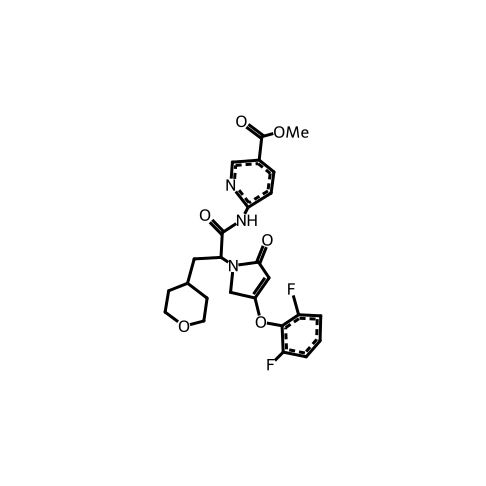 COC(=O)c1ccc(NC(=O)C(CC2CCOCC2)N2CC(Oc3c(F)cccc3F)=CC2=O)nc1